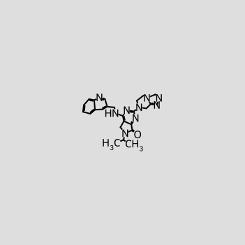 CC(C)N1Cc2c(NCc3cnc4ccccc4c3)nc(N3CCn4cnnc4C3)nc2C1=O